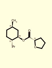 CC(C)[C@@H]1CC[C@@H](C)C[C@H]1OC(=O)[C@@H]1CCCO1